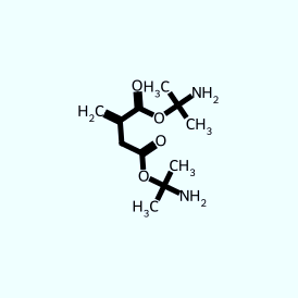 C=C(CC(=O)OC(C)(C)N)C(=O)OC(C)(C)N